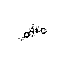 Cc1ccc(C2OC(=O)N(C(=O)NN3CCOCC3)C2C)cc1